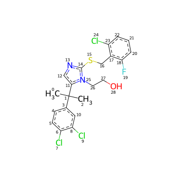 CC(C)(c1ccc(Cl)c(Cl)c1)c1cnc(SCc2c(F)cccc2Cl)n1CCO